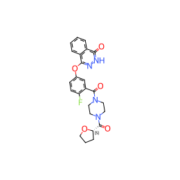 O=C(c1cc(Oc2n[nH]c(=O)c3ccccc23)ccc1F)N1CCN(C(=O)[C@@H]2CCCO2)CC1